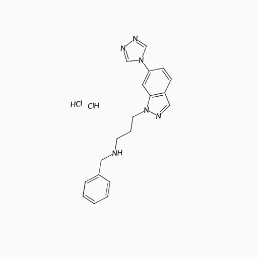 Cl.Cl.c1ccc(CNCCCn2ncc3ccc(-n4cnnc4)cc32)cc1